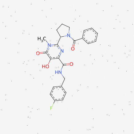 Cn1c(C2CCCN2C(=O)c2ccccc2)nc(C(=O)NCc2ccc(F)cc2)c(O)c1=O